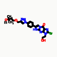 CCOC(C)(C)CCOCc1cn(-c2ccc(-c3cn4c(=O)c5nc(Br)n(CCO)c5nc4[nH]3)cc2)nn1